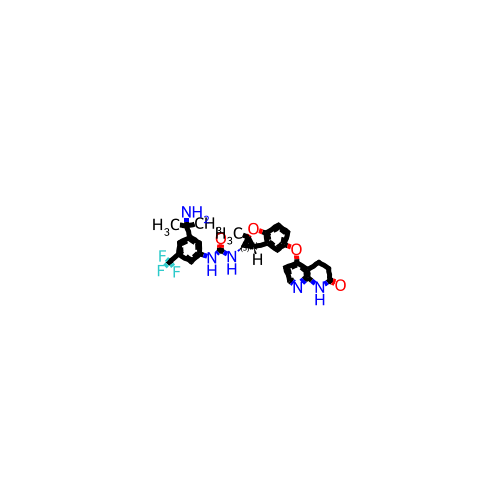 CC(C)(N)c1cc(NC(=O)N[C@H]2[C@@H]3c4cc(Oc5ccnc6c5CCC(=O)N6)ccc4OC23C)cc(C(F)(F)F)c1